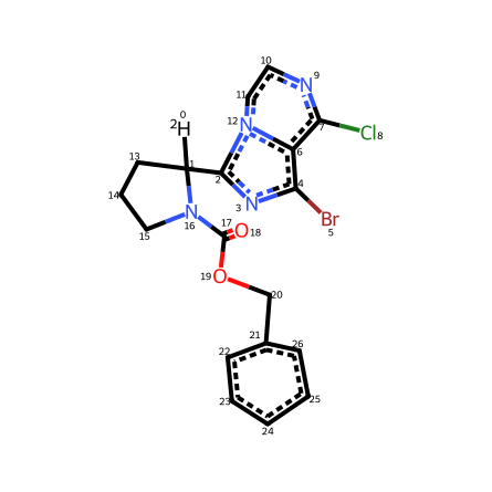 [2H]C1(c2nc(Br)c3c(Cl)nccn23)CCCN1C(=O)OCc1ccccc1